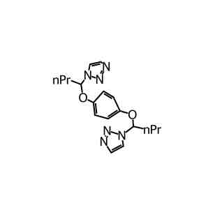 CCCC(Oc1ccc(OC(CCC)n2ccnn2)cc1)n1ccnn1